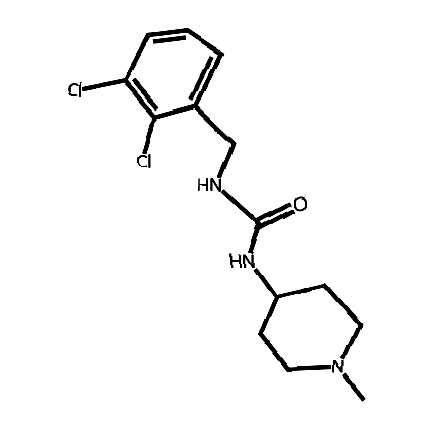 CN1CCC(NC(=O)NCc2cccc(Cl)c2Cl)CC1